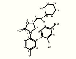 Cc1ccc(N2C(=O)O[C@@H](COC3CCCCO3)[C@@H]2c2cc(F)cc(F)c2)cc1